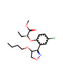 CCCCOC1CON=C1c1cc(Cl)ccc1O[C@@H](CC)C(=O)OC